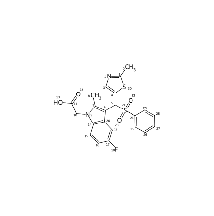 Cc1ncc(C(c2c(C)n(CC(=O)O)c3ccc(F)cc23)S(=O)(=O)c2ccccc2)s1